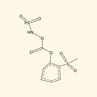 CS(=O)(=O)c1ccccc1OC(=O)ON[SH](=O)=O